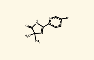 CC1(C)N=C(c2ccc(Br)cn2)NC1=O